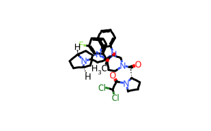 Cc1nc2ccccc2n1[C@H]1C[C@H]2CC[C@@H](C1)N2CCC1(c2cccc(F)c2)CCN(C(=O)[C@@H]2CCCN2C(=O)C(Cl)Cl)CC1